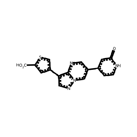 O=C(O)c1cc(-c2cnn3cc(-c4cc[nH]c(=O)c4)cnc23)cs1